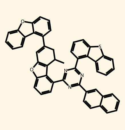 CC1CC(c2cccc3oc4ccccc4c23)=Cc2oc3cccc(-c4nc(-c5ccc6ccccc6c5)nc(-c5cccc6sc7ccccc7c56)n4)c3c21